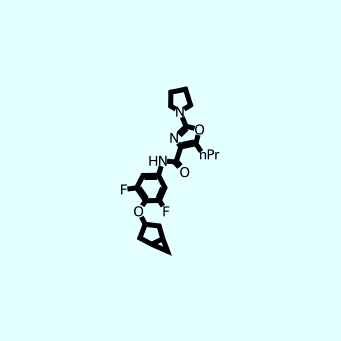 CCCc1oc(N2CCCC2)nc1C(=O)Nc1cc(F)c(OC2CC3CC3C2)c(F)c1